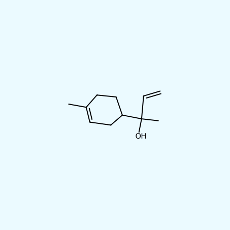 C=CC(C)(O)C1CC=C(C)CC1